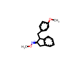 CO/N=C1\Cc2ccccc2C1Cc1ccc(OC)cc1